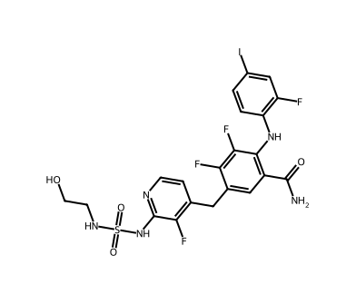 NC(=O)c1cc(Cc2ccnc(NS(=O)(=O)NCCO)c2F)c(F)c(F)c1Nc1ccc(I)cc1F